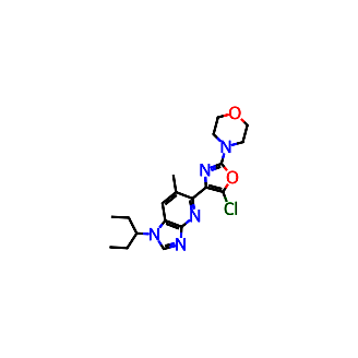 CCC(CC)n1cnc2nc(-c3nc(N4CCOCC4)oc3Cl)c(C)cc21